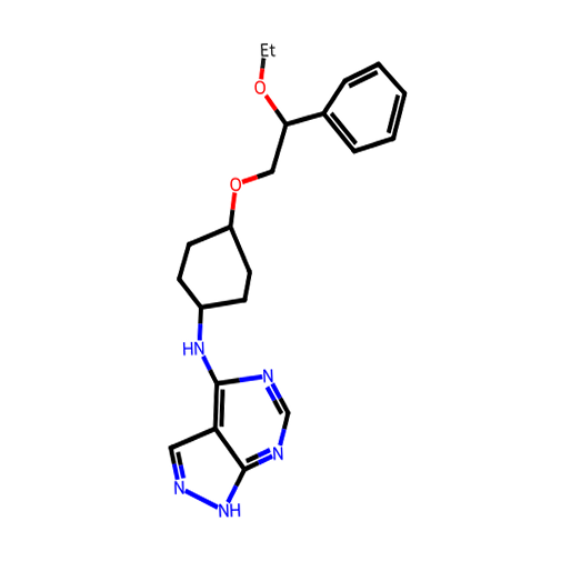 CCOC(COC1CCC(Nc2ncnc3[nH]ncc23)CC1)c1ccccc1